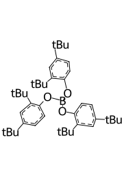 CC(C)(C)c1ccc(OB(Oc2ccc(C(C)(C)C)cc2C(C)(C)C)Oc2ccc(C(C)(C)C)cc2C(C)(C)C)c(C(C)(C)C)c1